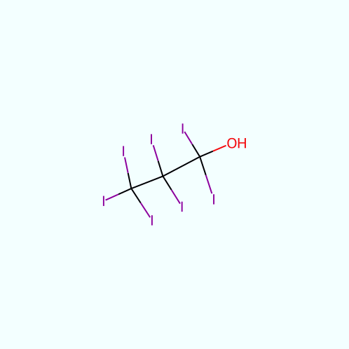 OC(I)(I)C(I)(I)C(I)(I)I